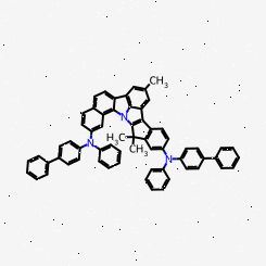 Cc1cc2c3c(n4c2c(c1)c1ccc2ccc(N(c5ccccc5)c5ccc(-c6ccccc6)cc5)cc2c14)C(C)(C)c1cc(N(c2ccccc2)c2ccc(-c4ccccc4)cc2)ccc1-3